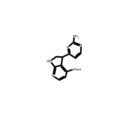 CCCCCc1ccnc2c1C(c1ccnc(N)n1)CN2